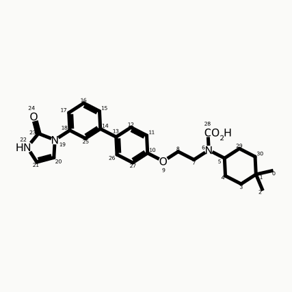 CC1(C)CCC(N(CCOc2ccc(-c3cccc(-n4cc[nH]c4=O)c3)cc2)C(=O)O)CC1